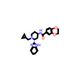 O=C(N[C@@H]1CCN(CC2CC2)[C@@H](c2nc3ccccc3[nH]2)C1)c1ccc2c(c1)OCCO2